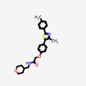 Cc1ccc(-c2nc(C)c(-c3ccc(OCC(=O)NCC4CCOCC4)cc3)s2)cc1